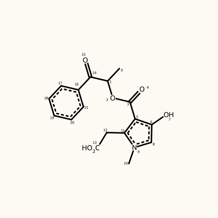 CC(OC(=O)c1c(O)cn(C)c1CC(=O)O)C(=O)c1ccccc1